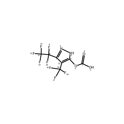 O=C(O)Oc1[nH]nc(C(F)(F)C(F)(F)F)c1C(F)(F)F